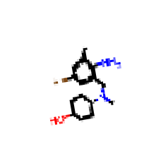 Cc1cc(Br)cc(CN(C)[C@H]2CC[C@H](O)CC2)c1N